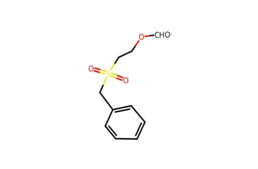 O=[C]OCCS(=O)(=O)Cc1ccccc1